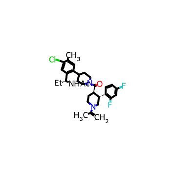 C=C(C)N1CC[C@@H](C(=O)N2CCC(c3cc(C)c(Cl)cc3[C@@H](CC)NC(C)=O)CC2)[C@H](c2ccc(F)cc2F)C1